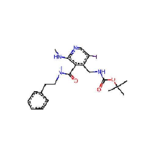 CNc1ncc(I)c(CNC(=O)OC(C)(C)C)c1C(=O)NCCc1ccccc1